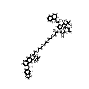 CNC(=O)OC(C)C(=O)NC(C(=O)N1C[C@@H](NC(=O)COCCOCCOCCOCCOc2cc3nccc(Nc4ccc5scnc5c4)c3cc2S(=O)(=O)C(C)(C)C)C[C@H]1C(=O)N[C@@H]1CCCc2ccccc21)C(C)(C)C